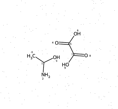 CC(N)O.O=C(O)C(=O)O